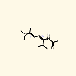 CC(=O)N/C(=C/C=C(\C)N(C)C)C(C)C